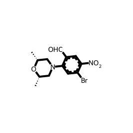 C[C@@H]1CN(c2cc(Br)c([N+](=O)[O-])cc2C=O)C[C@H](C)O1